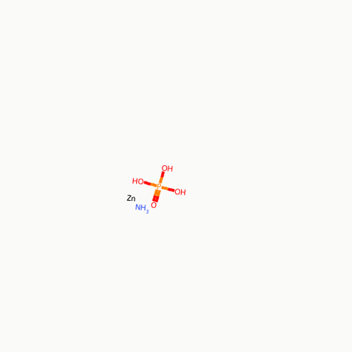 N.O=P(O)(O)O.[Zn]